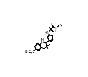 CCOC(=O)c1ccc2c(c1)CC(C)(C)C(c1cccc(NC(C)(C)C(=O)NC(C)C)c1)N2